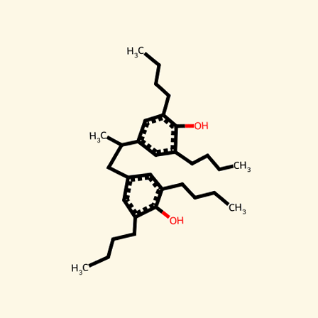 CCCCc1cc(CC(C)c2cc(CCCC)c(O)c(CCCC)c2)cc(CCCC)c1O